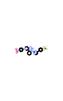 NC1(C2CCCN(c3ccc([N+](=O)[O-])cc3)C2)CCCCC1Nc1nccc(-c2ccc(OC(F)(F)F)cc2)n1